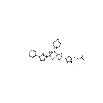 CN(C)CCc1cc(-c2cc3nc(-n4ccc(-c5ccccc5)n4)nc(N4CCOCC4)c3o2)nn1C